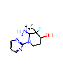 CC1(F)C(O)CCN(c2ncccn2)C1N